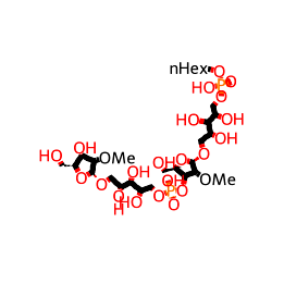 CCCCCCOP(=O)(O)OCC(O)C(O)C(O)CO[C@@H]1O[C@H](CO)C(OP(=O)(O)OCC(O)C(O)C(O)CO[C@@H]2O[C@H](CO)C(O)C2OC)C1OC